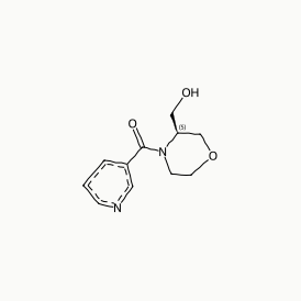 O=C(c1cccnc1)N1CCOC[C@@H]1CO